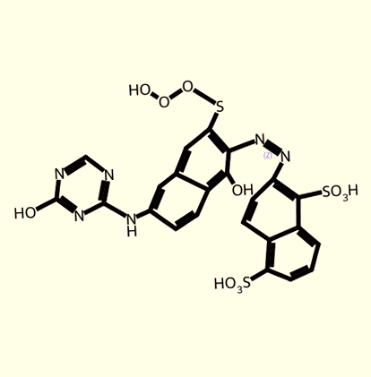 O=S(=O)(O)c1cccc2c(S(=O)(=O)O)c(/N=N\c3c(SOOO)cc4cc(Nc5ncnc(O)n5)ccc4c3O)ccc12